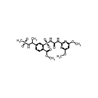 COC(=O)c1ccc(C(C)NS(C)(=O)=O)cc1S(=O)(=O)NC(=O)Nc1nc(OC)cc(OC)n1